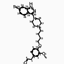 COc1cc(CC=O)ccc1OCCCCN1CCN(c2n[nH]c3cc(F)ccc23)CC1